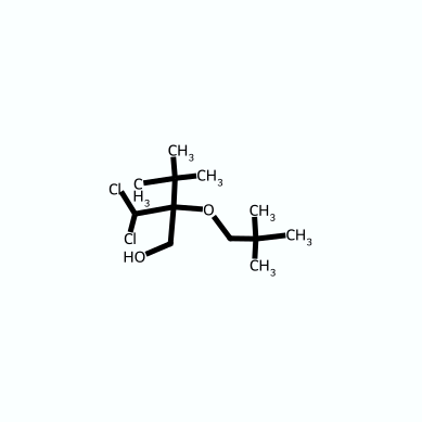 CC(C)(C)COC(CO)(C(Cl)Cl)C(C)(C)C